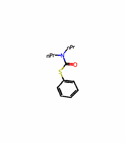 CCCN(CCC)C(=O)Sc1ccccc1